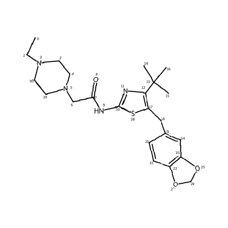 CCN1CCN(CC(=O)Nc2nc(C(C)(C)C)c(Cc3ccc4c(c3)OCO4)s2)CC1